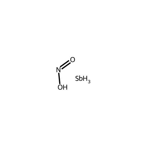 O=NO.[SbH3]